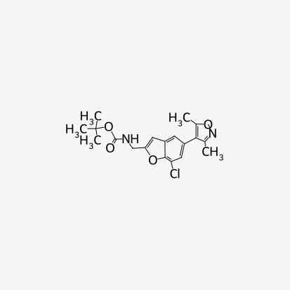 Cc1noc(C)c1-c1cc(Cl)c2oc(CNC(=O)OC(C)(C)C)cc2c1